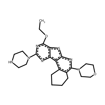 CCOc1nc(N2CCNCC2)nc2c1sc1nc(N3CCOCC3)c3c(c12)CCCC3